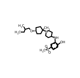 CCC(C)CO[C@H]1CC[C@](C)(N2CCC(Nc3cc(S(C)(=O)=O)ccc3O)CC2)CC1